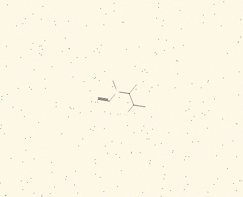 C=CN(C)C(C)C(C)NC